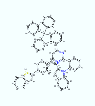 c1ccc(C2(c3ccccc3)c3ccccc3-c3c(-c4cc(-c5ccc(-c6cc7ccccc7s6)cc5)nc(-c5ccccc5-n5c6ccccc6c6ccccc65)n4)cccc32)cc1